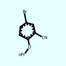 CCCOc1ccc(Br)cc1C#N